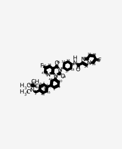 CN(Cc1ccc(-c2cccc(-n3c(=O)n([C@H]4CC[C@@H](NC(=O)c5cn6cc(F)ccc6n5)CC4)c(=O)c4cc(F)cnc43)c2)cc1)C(C)(C)C